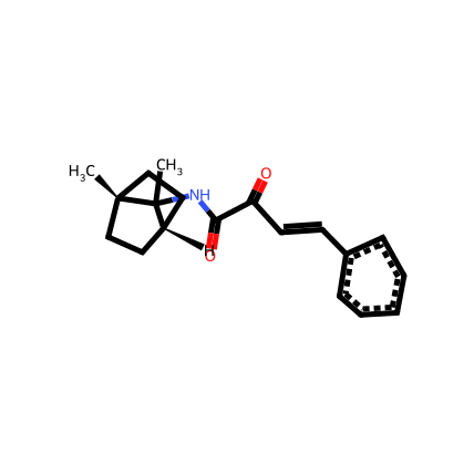 CC1(NC(=O)C(=O)/C=C/c2ccccc2)[C@H]2CC[C@]1(C)CC2